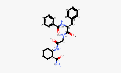 NC(=O)[C@H]1CCCC[C@H]1NC(=O)CNC(=O)[C@H](Cc1ccccc1)NC(=O)c1ccccc1